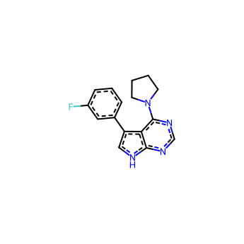 Fc1cccc(-c2c[nH]c3ncnc(N4CCCC4)c23)c1